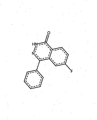 O=c1[nH]nc(-c2ccccc2)c2cc(F)ccc12